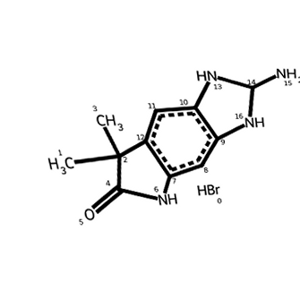 Br.CC1(C)C(=O)Nc2cc3c(cc21)NC(N)N3